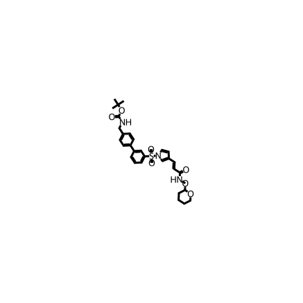 CC(C)(C)OC(=O)NCc1ccc(-c2cccc(S(=O)(=O)n3ccc(C=CC(=O)NOC4CCCCO4)c3)c2)cc1